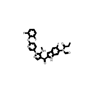 CCC(=O)N(C=O)c1cc2[nH]c(C(=O)c3cnn(-c4ccc(Oc5c(F)cccc5F)nc4)c3NC)cc2cc1F